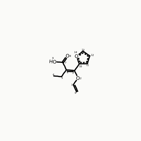 C=COC(=C(CC)C(=O)O)c1ccco1